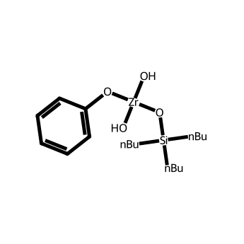 CCCC[Si](CCCC)(CCCC)[O][Zr]([OH])([OH])[O]c1ccccc1